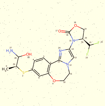 C[C@H](Sc1ccc2c(c1)OCCn1cc(N3C(=O)OC[C@H]3C(F)F)nc1-2)C(N)O